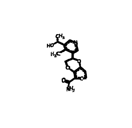 Cc1c(C(C)O)cncc1C1COc2c(cccc2C(N)=O)O1